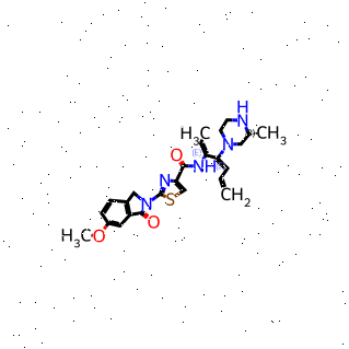 C=C/C=C(\C(=C/C)NC(=O)c1csc(N2Cc3ccc(OC)cc3C2=O)n1)N1CCN[C@H](C)C1